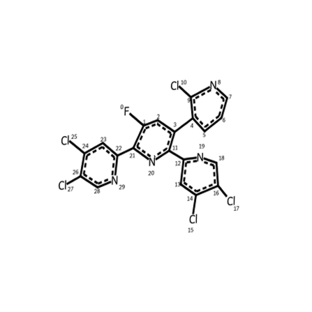 Fc1[c]c(-c2cccnc2Cl)c(-c2cc(Cl)c(Cl)cn2)nc1-c1cc(Cl)c(Cl)cn1